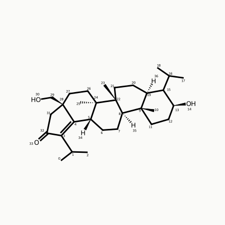 CC(C)C1=C2[C@H]3CC[C@@H]4[C@@]5(C)CC[C@H](O)C(C(C)C)[C@@H]5CC[C@@]4(C)[C@]3(C)CC[C@@]2(CO)CC1=O